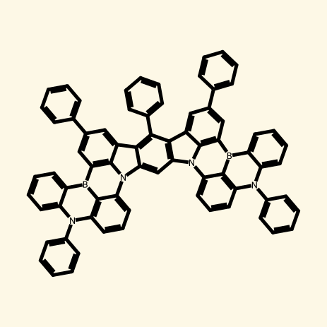 c1ccc(-c2cc3c4c(c2)c2c(-c5ccccc5)c5c6cc(-c7ccccc7)cc7c6n(c5cc2n4-c2cccc4c2B3c2ccccc2N4c2ccccc2)-c2cccc3c2B7c2ccccc2N3c2ccccc2)cc1